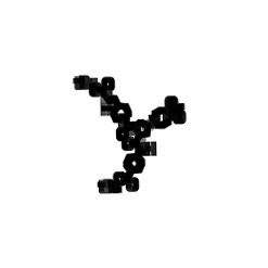 CC(C)(C)OC(=O)NCC1CCN(C(=O)N2C[C@@H](N3CCN(S(C)(=O)=O)CC3)C[C@H]2C(=O)Nc2ccc(C(=O)OC(C)(C)C)cc2)CC1